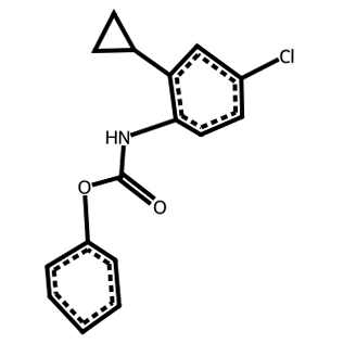 O=C(Nc1ccc(Cl)cc1C1CC1)Oc1ccccc1